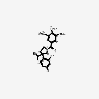 CCC(C1(c2ccc(F)cc2F)CCN(C(=O)c2cc(OC)c(OC)c(OC)c2)C1)S(=O)(=O)O